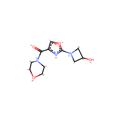 O=C(c1coc(N2CC(O)C2)n1)N1CCOCC1